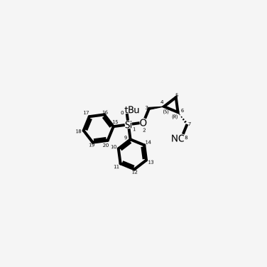 CC(C)(C)[Si](OC[C@H]1C[C@@H]1CC#N)(c1ccccc1)c1ccccc1